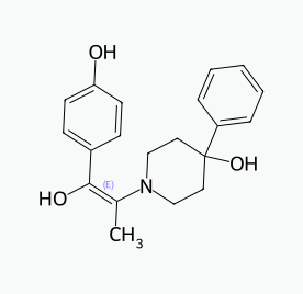 C/C(=C(\O)c1ccc(O)cc1)N1CCC(O)(c2ccccc2)CC1